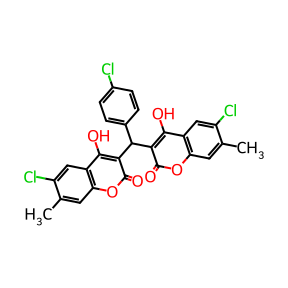 Cc1cc2oc(=O)c(C(c3ccc(Cl)cc3)c3c(O)c4cc(Cl)c(C)cc4oc3=O)c(O)c2cc1Cl